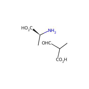 CC(C=O)C(=O)O.C[C@H](N)C(=O)O